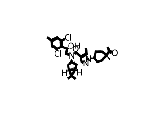 Cc1cc(Cl)c(C(O)CN(C(=O)c2cnn([C@H]3CC[C@](C)(C(C)=O)CC3)c2C)[C@H]2C[C@@H]3[C@H](C2)C3(C)C)c(Cl)c1